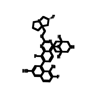 CCc1c(F)ccc2cc(O)cc(-c3ccc4c(N5[C@@H]6CNC[C@H]5COC6)nc(OC[C@@]56CCCN5C[C@H](F)C6)nc4c3F)c12